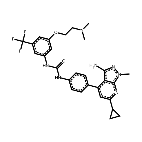 CN(C)CCOc1cc(NC(=O)Nc2ccc(-c3cc(C4CC4)nc4c3c(N)nn4C)cc2)cc(C(F)(F)F)c1